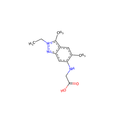 CCn1nc2cc(NCC(=O)O)c(C)cc2c1C